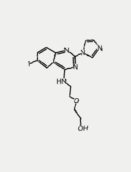 OCCOCCNc1nc(-n2ccnc2)nc2ccc(I)cc12